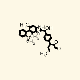 CCCC(C(=O)C=O)c1ccc(C(O)c2nc3c(C)c(-c4ccccc4OC)c(C)cc3[nH]2)cc1